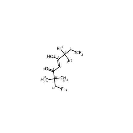 CCC(CC)(CC(F)(F)F)/C(O)=C/C(=O)C(C)(C)CF